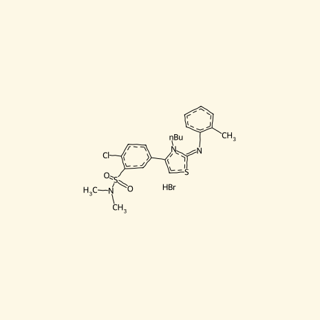 Br.CCCCn1c(-c2ccc(Cl)c(S(=O)(=O)N(C)C)c2)cs/c1=N/c1ccccc1C